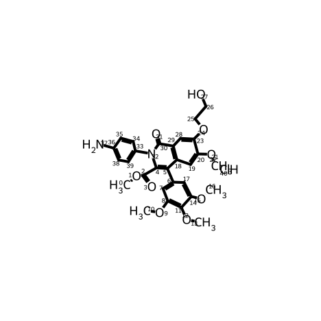 COC(=O)c1c(-c2cc(OC)c(OC)c(OC)c2)c2cc(OC)c(OCCO)cc2c(=O)n1-c1ccc(N)cc1.Cl